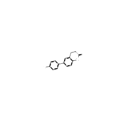 Nc1ccc(-c2ccc3c(c2)CCC(=O)N3)cc1